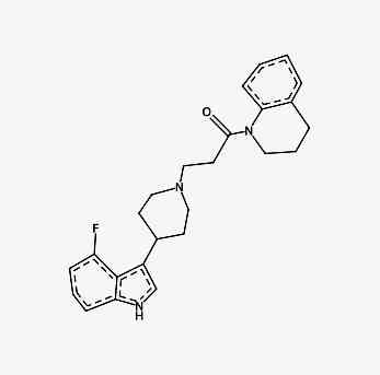 O=C(CCN1CCC(c2c[nH]c3cccc(F)c23)CC1)N1CCCc2ccccc21